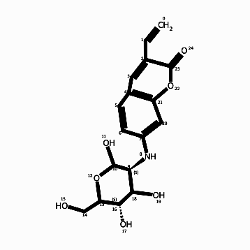 C=Cc1cc2ccc(N[C@@H]3C(O)OC(CO)[C@@H](O)C3O)cc2oc1=O